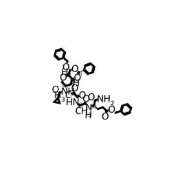 C[C@H](NC(=O)[C@@H](C)O[C@H]1[C@@H]2O[C@@H](c3ccccc3)OC(OCc3ccccc3)[C@@H]2OC[C@H]1NC(=O)C1CC1)C(=O)N[C@H](CCC(=O)OCc1ccccc1)C(N)=O